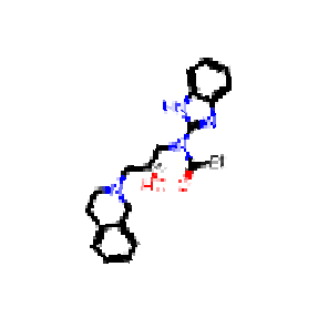 CCC(=O)N(C[C@@H](O)CN1CCc2ccccc2C1)c1nc2ccccc2[nH]1